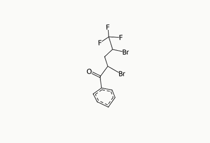 O=C(c1ccccc1)C(Br)CC(Br)C(F)(F)F